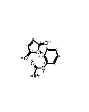 CCCC(=O)Oc1ccccc1.O=C1C=CC(=O)N1